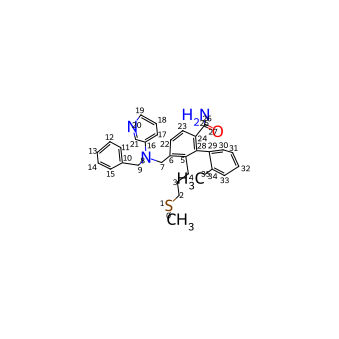 CSCCCc1c(CN(Cc2ccccc2)c2cccnc2)ccc(C(N)=O)c1-c1ccccc1C